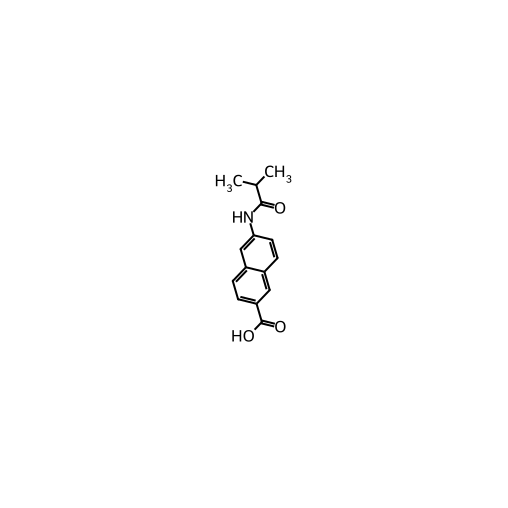 CC(C)C(=O)Nc1ccc2cc(C(=O)O)ccc2c1